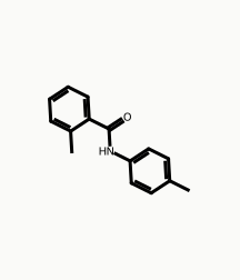 Cc1ccc(NC(=O)c2ccccc2C)cc1